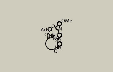 COc1ccc2c(O[C@@H]3C[C@@H](C(=O)N[C@]45CC4CCCCCCC(=O)Nc4ccccc4S(=O)(=O)NC5=O)N(C(C)=O)C3)cc(-c3ccccc3)nc2c1